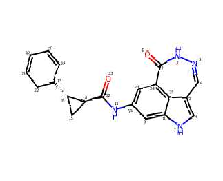 O=C1NN=Cc2c[nH]c3cc(NC(=O)[C@H]4C[C@@H]4C4C=CC=CC4)cc1c23